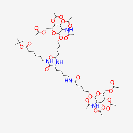 CC(=O)NC1C(OCCCCC(=O)NCCCC[C@H](NC(=O)CCCCOC2OC(COC(C)=O)C(OC(C)=O)C(OC(C)=O)C2NC(C)=O)C(=O)NCCCCCC(=O)OC(C)(C)C)OC(COC(C)=O)C(OC(C)=O)C1OC(C)=O